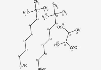 CCCCCCCCCCCCCCCC[N+](C)(C)C.CCCCCCCCCCCCCCCC[N+](C)(C)C.O=C([O-])C(O)C(O)C(=O)[O-]